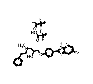 CN(CCc1ccccc1)CC(O)COc1ccc(-c2nc3cc(Br)cnc3[nH]2)cc1.O=C(O)C(F)(F)F.O=C(O)C(F)(F)F